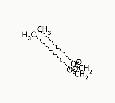 C=CC(=O)OCCCCCCCCCCCCCCCCC.C=CC(=O)OCCCCCCCCCCCCCCCCCC